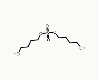 O=S(=O)(OCCCCO)OCCCCO